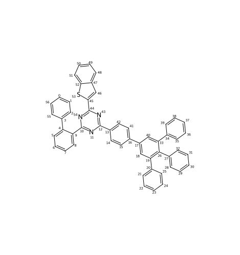 c1ccc(-c2ccccc2-c2nc(-c3ccc(-c4cc(-c5ccccc5)c(-c5ccccc5)c(-c5ccccc5)c4)cc3)nc(-c3cc4ccccc4s3)n2)cc1